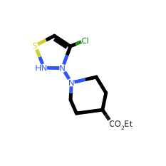 CCOC(=O)C1CCN(N2NSC=C2Cl)CC1